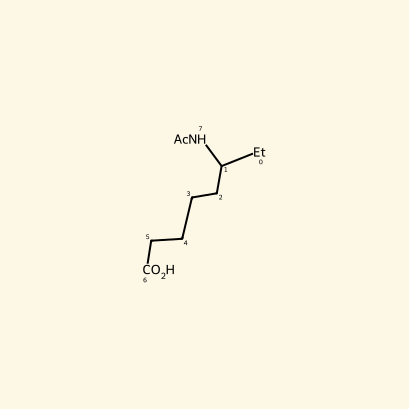 CCC(CCCCC(=O)O)NC(C)=O